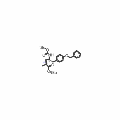 C/C(=C/[C@H](Cc1ccc(OCc2ccccc2)cc1)NC(=O)OC(C)(C)C)C(=O)OC(C)(C)C